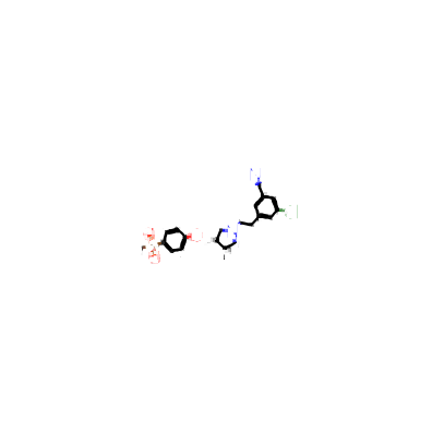 C[C@@H]1CN(CCc2cc(Cl)cc(C#N)c2)C[C@H]1COc1ccc(S(C)(=O)=O)cc1